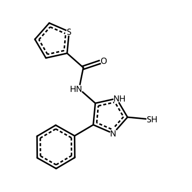 O=C(Nc1[nH]c(S)nc1-c1ccccc1)c1cccs1